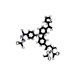 C=C(CC(C)N(OC(C)=O)C(C)=O)c1ccc2c(c1)c1cc(C(=C)c3cccs3)ccc1n2-c1ccc(/C(C)=N\OC(C)=O)cc1